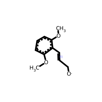 COc1cccc(OC)c1/C=C/C[O]